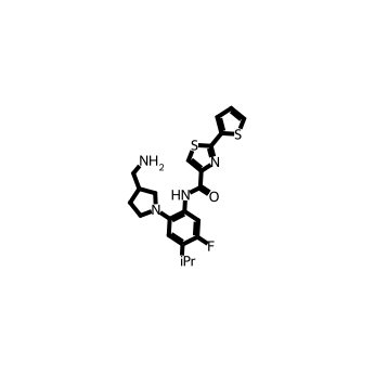 CC(C)c1cc(N2CCC(CN)C2)c(NC(=O)c2csc(-c3cccs3)n2)cc1F